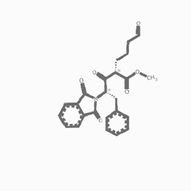 COC(=O)[C@@H](CCCC=O)C(=O)[C@H](Cc1ccccc1)N1C(=O)c2ccccc2C1=O